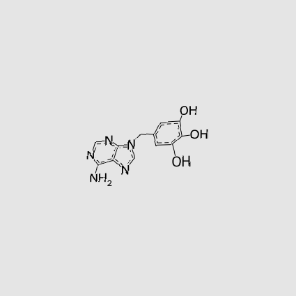 Nc1ncnc2c1ncn2Cc1cc(O)c(O)c(O)c1